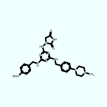 COc1ccc(CNc2nc(NCc3ccc(N4CCN(C)CC4)cc3)nc(NN3CC(=O)NC3=O)n2)cc1